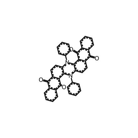 O=c1c2ccccc2c(=O)c2c1ccc1c2n(-c2ccccc2)c2ccc3c(=O)c4ccccc4c(=O)c3c2n1-c1ccccc1